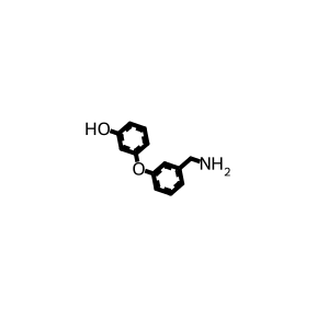 NCc1cccc(Oc2cccc(O)c2)c1